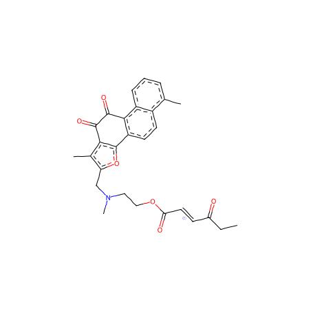 CCC(=O)/C=C/C(=O)OCCN(C)Cc1oc2c(c1C)C(=O)C(=O)c1c-2ccc2c(C)cccc12